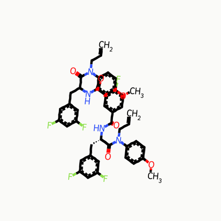 C=CCN(C(=O)C(Cc1cc(F)cc(F)c1)NC(=O)c1cc(C(=O)N[C@@H](Cc2cc(F)cc(F)c2)C(=O)N(CC=C)c2ccc(OC)cc2)ccc1F)c1ccc(OC)cc1